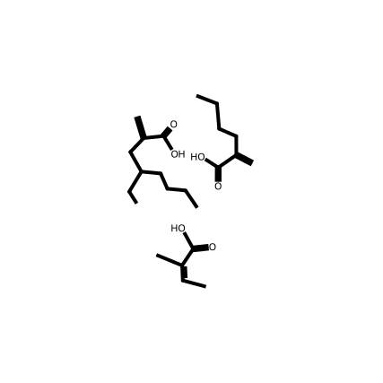 C=C(CC(CC)CCCC)C(=O)O.C=C(CCCC)C(=O)O.CC=C(C)C(=O)O